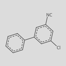 [C-]#[N+]c1cc(Cl)cc(-c2ccccc2)c1